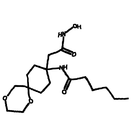 CCCCCC(=O)NC1(CC(=O)NO)CCC2(CC1)COCCO2